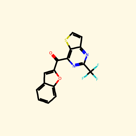 O=C(c1cc2ccccc2o1)c1nc(C(F)(F)F)nc2ccsc12